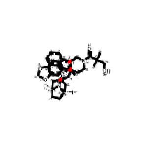 Cc1nc2ccccc2n1[C@H]1C[C@H]2CC[C@@H](C1)N2CCC1(c2ccc3c(c2)OCO3)CCN(C(=O)C(C)(C)CO)CC1